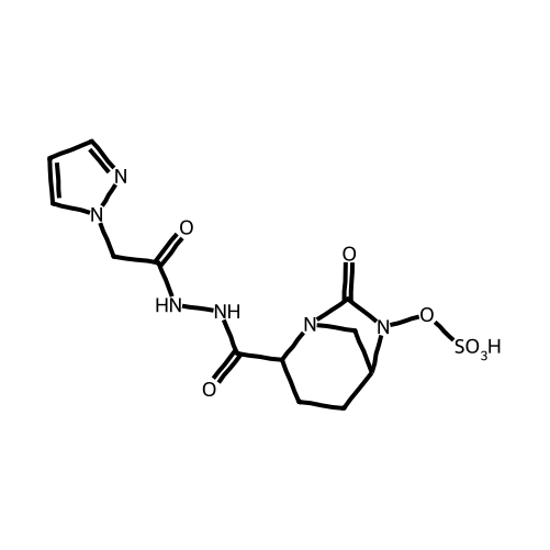 O=C(Cn1cccn1)NNC(=O)C1CCC2CN1C(=O)N2OS(=O)(=O)O